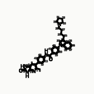 Cc1nc2[nH]c(=O)[nH]c2cc1-c1ccc(NC(=O)c2ccc(-n3cc(CCCCN4CCCC4)c4ccccc43)cc2)cc1